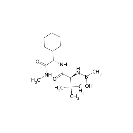 CNC(=O)[C@@H](NC(=O)[C@@H](NB(C)O)C(C)(C)C)C1CCCCC1